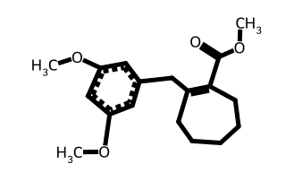 COC(=O)C1=C(Cc2cc(OC)cc(OC)c2)CCCCC1